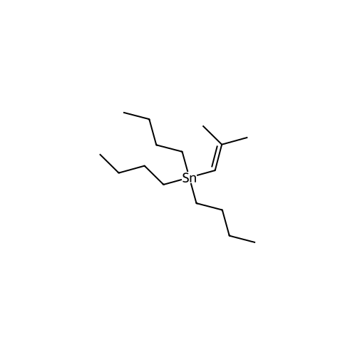 CCC[CH2][Sn]([CH]=C(C)C)([CH2]CCC)[CH2]CCC